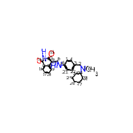 CN(Cc1ccc(N/C=C2/C(=O)NC(=O)c3ccccc32)cc1)C1CCCCC1